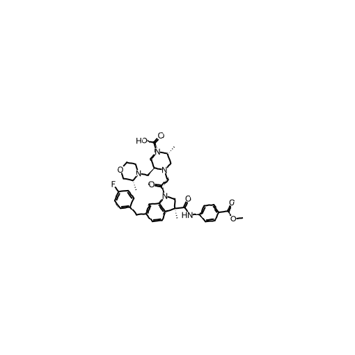 COC(=O)c1ccc(NC(=O)[C@]2(C)CN(C(=O)CN3C[C@@H](C)N(C(=O)O)C[C@@H]3CN3CCOC[C@H]3C)c3cc(Cc4ccc(F)cc4)ccc32)cc1